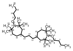 CCCCON1C(C)(C)CCC(CCCC2CCC(C)(C)N(OCCCC)C(C)(C)C2)CC1(C)C